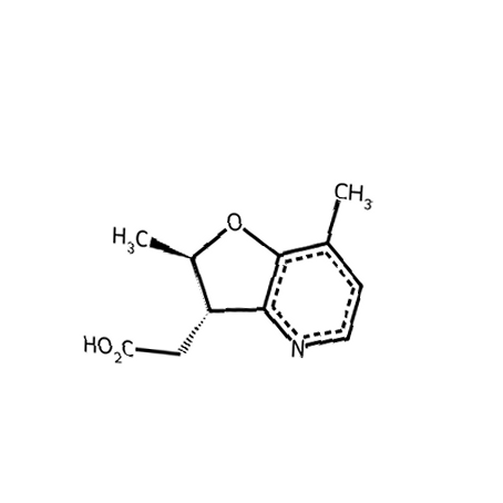 Cc1ccnc2c1O[C@H](C)[C@H]2CC(=O)O